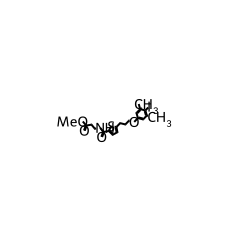 COC(=O)CCNC(=O)c1ccc(CCCOc2cc(C)c(I)c(C)c2)s1